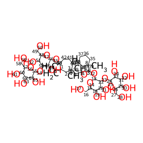 C=C1C[C@@]2(C)CCC3[C@](C)(C(=O)OC4OC(CO)C(O)C(O)C4OC4OC(CO)C(O)C(O)C4O)CCC[C@@]3(C)[C@@H]2CC[C@@]1(C)OC1OC(CO)C(O)C(OC2OC(CO)C(O)C(O)C2O)C1O